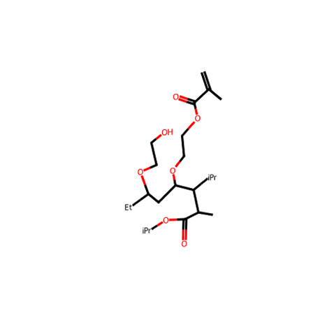 C=C(C)C(=O)OCCOC(CC(CC)OCCO)C(C(C)C)C(C)C(=O)OC(C)C